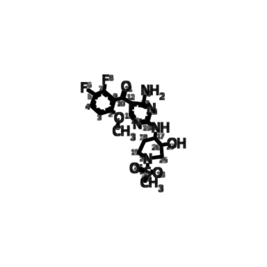 COc1ccc(F)c(F)c1C(=O)c1cnc(NC2CCN(S(C)(=O)=O)CC2O)nc1N